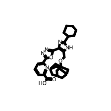 O=C(O)c1cccc(-c2nnc(-c3nc(C4CCCCC4)[nH]c3COC34CC5CC(CC(C5)C3)C4)o2)n1